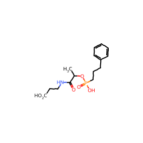 CC(OP(=O)(O)CCCc1ccccc1)C(=O)NCCC(=O)O